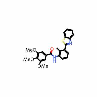 COc1cc(C(=O)Nc2cccc(-c3nc4ccccc4s3)c2C)cc(OC)c1OC